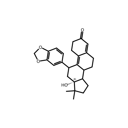 CC1(C)CCC2C3CCC4=CC(=O)CCC4=C3C(c3ccc4c(c3)OCO4)C[C@@]21O